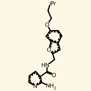 CC(C)CCOc1ccc2cc(CNC(=O)c3cccnc3N)oc2c1